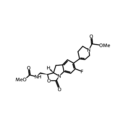 COC(=O)NC[C@@H]1OC(=O)N2c3cc(F)c(C4=CCN(C(=O)OC)CC4)cc3C[C@@H]12